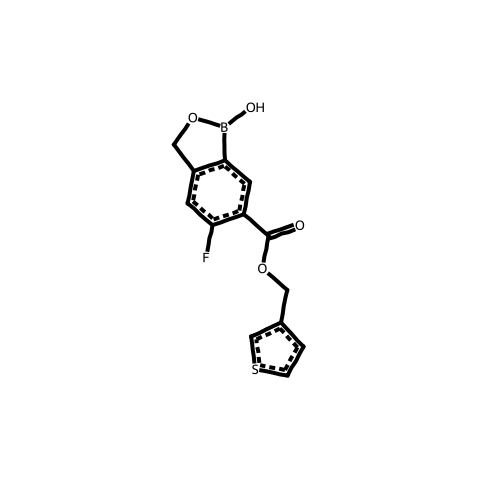 O=C(OCc1ccsc1)c1cc2c(cc1F)COB2O